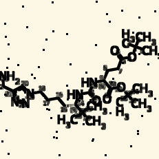 CC(C)(C)OC(=O)CC[C@H](NC(=O)N[C@@H](CCCCn1cc(CN)nn1)C(C)(C)C)C(=O)OC(C)(C)C